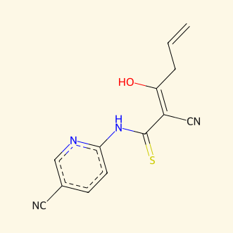 C=CCC(O)=C(C#N)C(=S)Nc1ccc(C#N)cn1